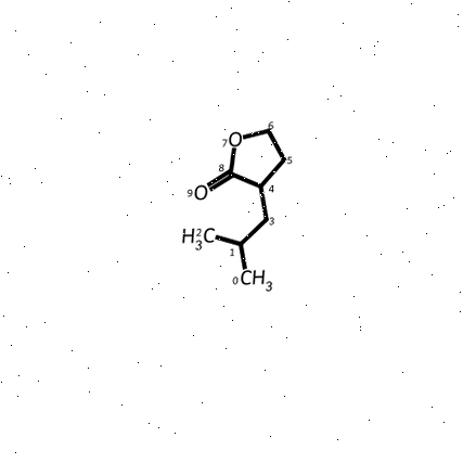 CC(C)CC1CCOC1=O